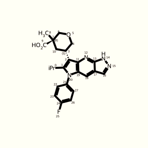 CC(C)c1c([C@H]2COC[C@](C)(C(=O)O)C2)c2nc3[nH]ncc3cc2n1-c1ccc(F)cc1